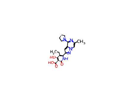 CCc1c(-c2cc3c(N4CCCC4)nc(C)cn3n2)[nH]c(=O)c(C(=O)O)c1O